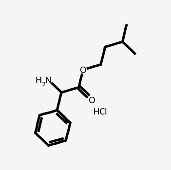 CC(C)CCOC(=O)C(N)c1ccccc1.Cl